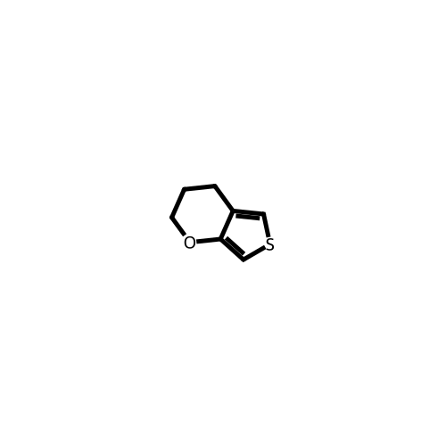 c1scc2c1CCCO2